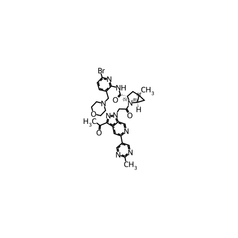 CC(=O)c1nn(CC(=O)N2[C@H](C(=O)Nc3nc(Br)ccc3CN3CCOCC3)C[C@@]3(C)C[C@@H]23)c2cnc(-c3cnc(C)nc3)cc12